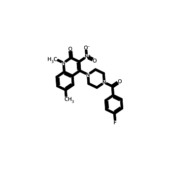 Cc1ccc2c(c1)c(N1CCN(C(=O)c3ccc(F)cc3)CC1)c([N+](=O)[O-])c(=O)n2C